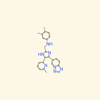 Cc1cccc(-c2[nH]c(CNc3ccc(C)c(C)c3)nc2-c2ccc3ncnn3c2)n1